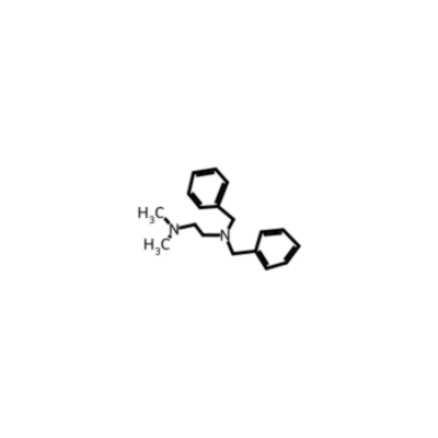 CN(C)CCN(Cc1ccccc1)Cc1ccccc1